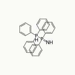 N=P(c1ccccc1)(c1ccccc1)[PH](c1ccccc1)(c1ccccc1)c1ccccc1